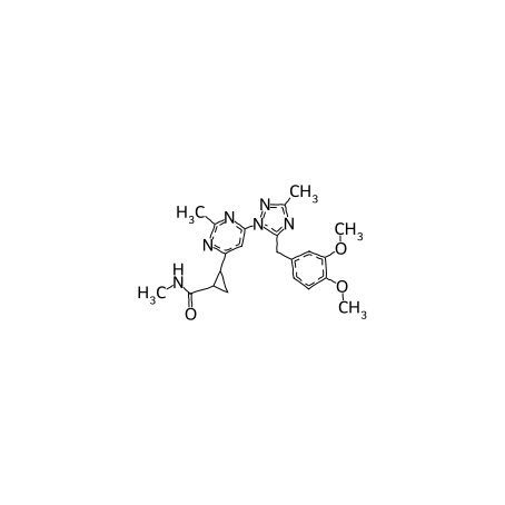 CNC(=O)C1CC1c1cc(-n2nc(C)nc2Cc2ccc(OC)c(OC)c2)nc(C)n1